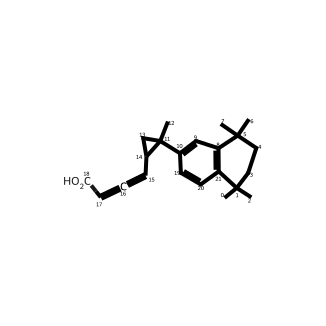 CC1(C)CCC(C)(C)c2cc(C3(C)CC3C=C=CC(=O)O)ccc21